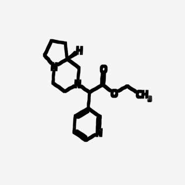 CCOC(=O)C(c1cccnc1)N1CCN2CCC[C@@H]2C1